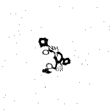 CC(C)OC(=O)C1=CN(C(=O)Nc2ccccc2)CCc2c1[nH]c1ccccc21